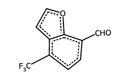 O=Cc1ccc(C(F)(F)F)c2ccoc12